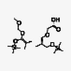 CC(=COCC(=O)O)CO[Si](C)(C)C.COCOC(O[Si](C)(C)C)=C(C)C